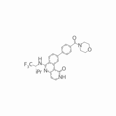 CC(C)[C@@H](Nc1nc2cc[nH]c(=O)c2c2cc(-c3ccc(C(=O)N4CCOCC4)cc3)ccc12)C(F)(F)F